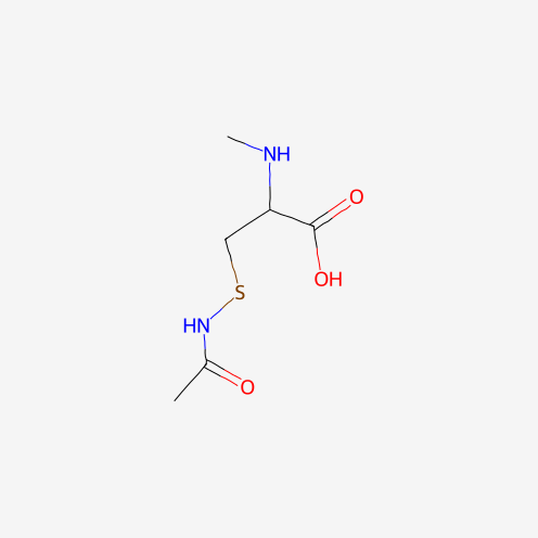 CNC(CSNC(C)=O)C(=O)O